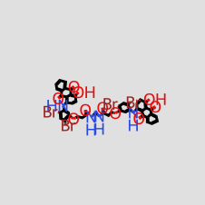 O=C(CCOc1cc(Nc2ccc(O)c3c2C(=O)c2ccccc2C3=O)c(Br)cc1Br)NCNC(=O)CCOc1cc(Nc2ccc(O)c3c2C(=O)c2ccccc2C3=O)c(Br)cc1Br